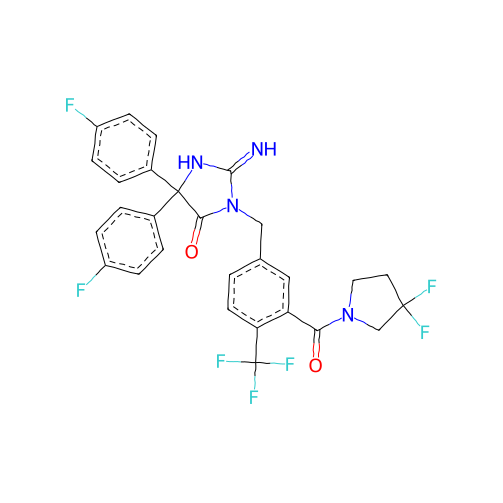 N=C1NC(c2ccc(F)cc2)(c2ccc(F)cc2)C(=O)N1Cc1ccc(C(F)(F)F)c(C(=O)N2CCC(F)(F)C2)c1